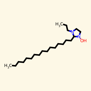 CCCCCCCCCCCCCCCCC1N(O)CCN1CCC